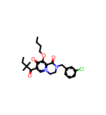 CCCCOc1c2n(cc(C(=O)C(C)(C)CC)c1=O)CCN(Cc1cccc(Cl)c1)C2=O